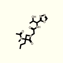 CCCC1(N(C)C(C)=O)CN(CC(=O)NC(c2nnco2)C(C)O)C1=O